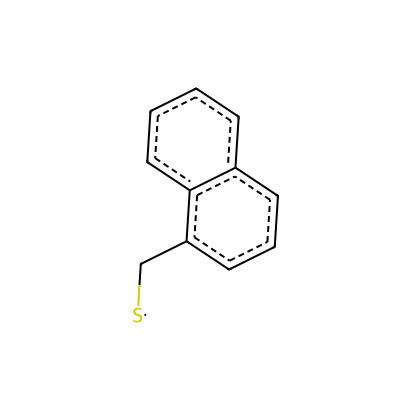 [S]Cc1cccc2ccccc12